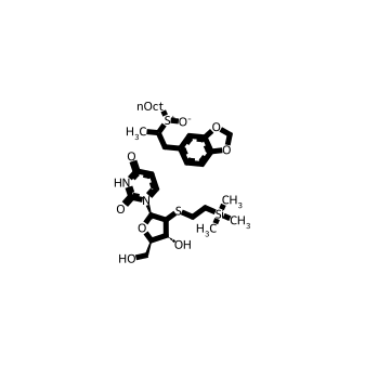 CCCCCCCC[S+]([O-])C(C)Cc1ccc2c(c1)OCO2.C[Si](C)(C)CCSC1[C@H](n2ccc(=O)[nH]c2=O)O[C@H](CO)[C@H]1O